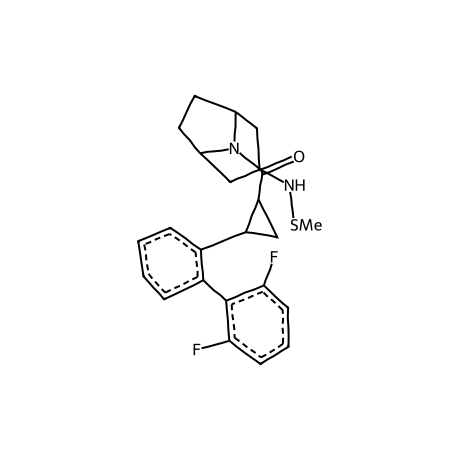 CSNC1CC2CCC(C1)N2C(=O)C1CC1c1ccccc1-c1c(F)cccc1F